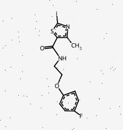 Cc1nc(I)sc1C(=O)NCCOc1ccc(F)cc1